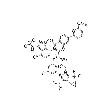 COc1cccc(-c2ccc3c(=O)n(-c4ccc(Cl)c5c(NS(C)(=O)=O)nn(C)c45)c([C@H](Cc4cc(F)cc(F)c4)NC(=O)Cn4nc(C(F)F)c5c4C(F)(F)C4CC54)nc3c2)n1